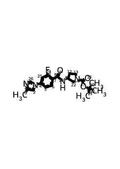 Cc1cn(-c2ccc(C(=O)N[C@@H]3CCN(C(=O)OC(C)(C)C)C3)c(F)c2)cn1